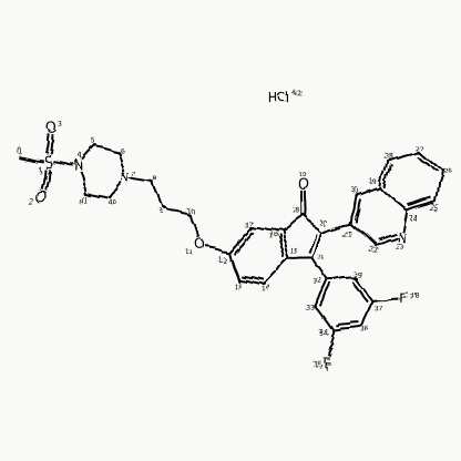 CS(=O)(=O)N1CCN(CCCOc2ccc3c(c2)C(=O)C(c2cnc4ccccc4c2)=C3c2cc(F)cc(F)c2)CC1.Cl